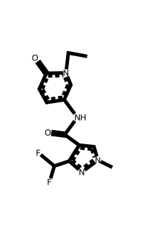 CCn1cc(NC(=O)c2cn(C)nc2C(F)F)ccc1=O